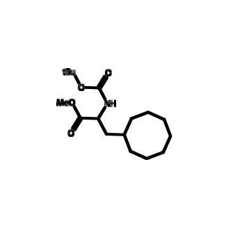 COC(=O)C(CC1CCCCCCC1)NC(=O)OC(C)(C)C